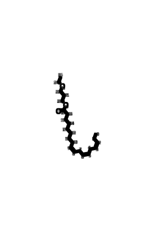 CC/C=C\C/C=C\C/C=C\CCCCCCCC(=O)OCCCOCC